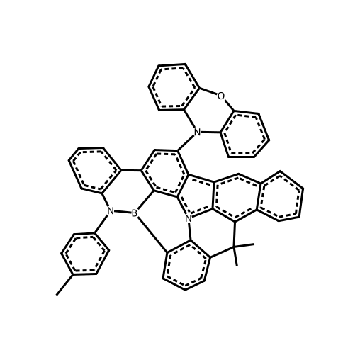 Cc1ccc(N2B3c4cccc5c4-n4c6c(c7ccccc7cc6c6c(N7c8ccccc8Oc8ccccc87)cc(c3c64)-c3ccccc32)C5(C)C)cc1